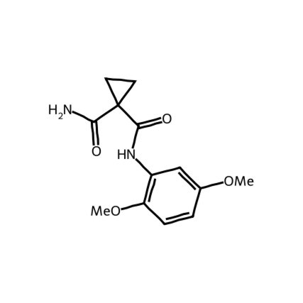 COc1ccc(OC)c(NC(=O)C2(C(N)=O)CC2)c1